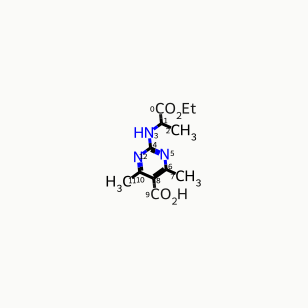 CCOC(=O)C(C)Nc1nc(C)c(C(=O)O)c(C)n1